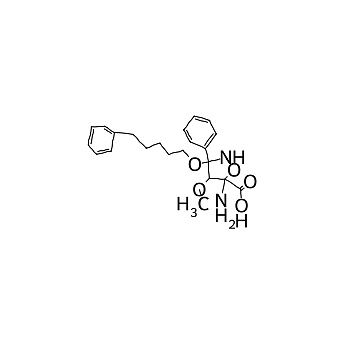 COC1C(N)(C(=O)O)ONC1(OCCCCCc1ccccc1)c1ccccc1